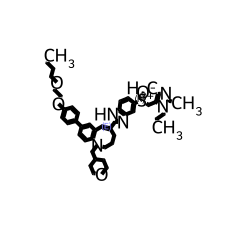 CCCCOCCOc1ccc(-c2ccc3c(c2)/C=C(/c2nc4cc([S@@+]([O-])Cc5c(C)nc(C)n5CCC)ccc4[nH]2)CCCN3CC2CCOCC2)cc1